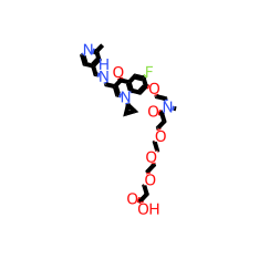 Cc1cc(CNCc2cn(C3CC3)c3cc(OCCN(C)C(=O)CCOCCOCCOCCC(=O)O)c(F)cc3c2=O)ccn1